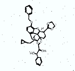 OC(COC12CCC(C3OCCO3)[C@@H]3Oc4c(OCc5ccccc5)ccc5c4[C@@]31CCN(CC1CC1)[C@@H]2C5)C(O)c1ccccc1